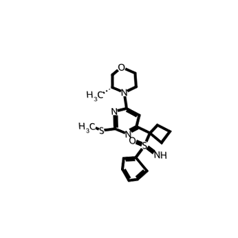 CSc1nc(N2CCOC[C@H]2C)cc(C2(S(=N)(=O)c3ccccc3)CCC2)n1